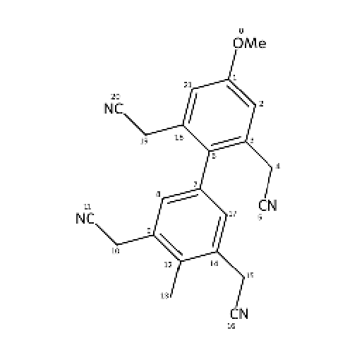 COc1cc(CC#N)c(-c2cc(CC#N)c(C)c(CC#N)c2)c(CC#N)c1